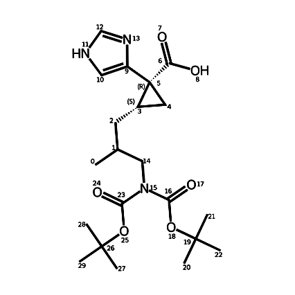 CC(C[C@H]1C[C@]1(C(=O)O)c1c[nH]cn1)CN(C(=O)OC(C)(C)C)C(=O)OC(C)(C)C